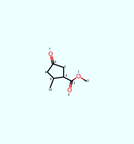 COC(=O)C1CC(=O)CC1C